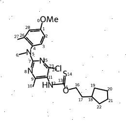 COc1ccc(N(C)c2nc(C)c(NC(=S)OCCC3CCCC3)c(Cl)n2)c(C)c1